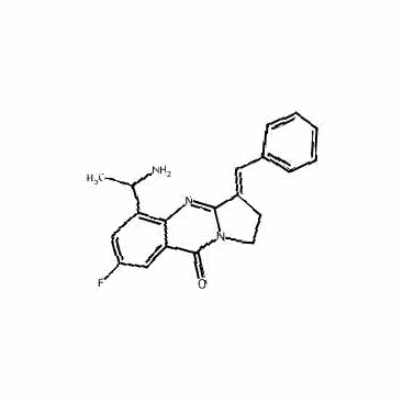 CC(N)c1cc(F)cc2c(=O)n3c(nc12)C(=Cc1ccccc1)CC3